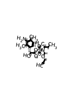 C#CCOCN(C(C)CC)S(=O)(=O)OC(=O)CO.Cc1cccc(C)c1N